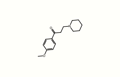 COc1ccc(C(=O)CCN2CCCCC2)cc1